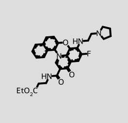 CCOC(=O)CCNC(=O)c1cn2c3c(c(NCCN4CCCC4)c(F)cc3c1=O)Oc1ccc3ccccc3c1-2